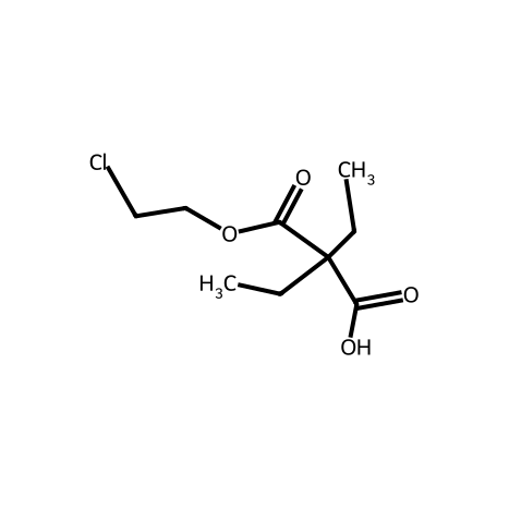 CCC(CC)(C(=O)O)C(=O)OCCCl